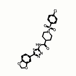 O=C(Nc1nnc(-c2ccc3c(c2)OCO3)s1)C1CCN(S(=O)(=O)c2ccc(Cl)cc2)CC1